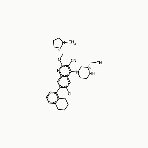 CN1CCC[C@H]1COc1nc2cc(-c3cccc4c3CCCC4)c(Cl)cc2c(N2CCN[C@@H](CC#N)C2)c1C#N